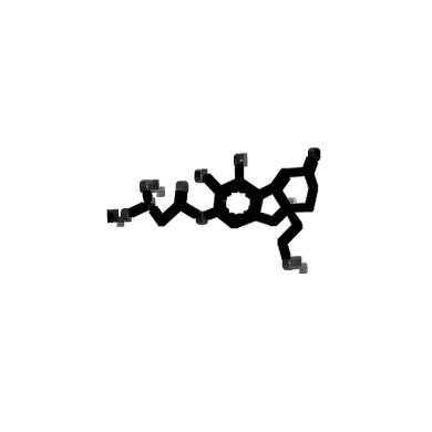 CCC[C@]12CCC(=O)C=C1c1c(cc(OC(=O)CN(C)C)c(Cl)c1Cl)C2